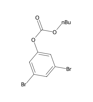 CCCCOC(=O)Oc1cc(Br)cc(Br)c1